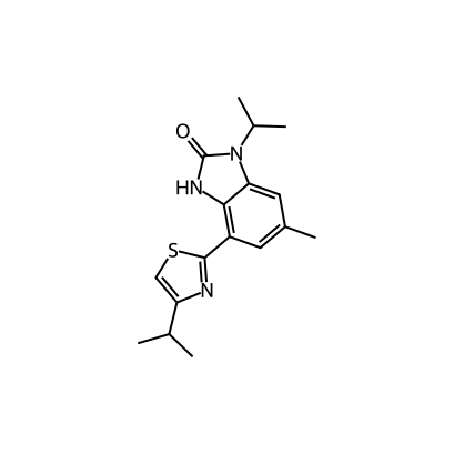 Cc1cc(-c2nc(C(C)C)cs2)c2[nH]c(=O)n(C(C)C)c2c1